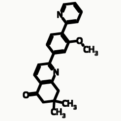 COc1cc(-c2ccc3c(n2)CC(C)(C)CC3=O)ccc1-c1ccccn1